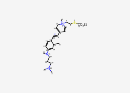 CCOC(=O)SCC[N+]1(C)C=CC(/C=C/C2C=CC(N(C)CCCN(C)C)=CC2C)=CC1